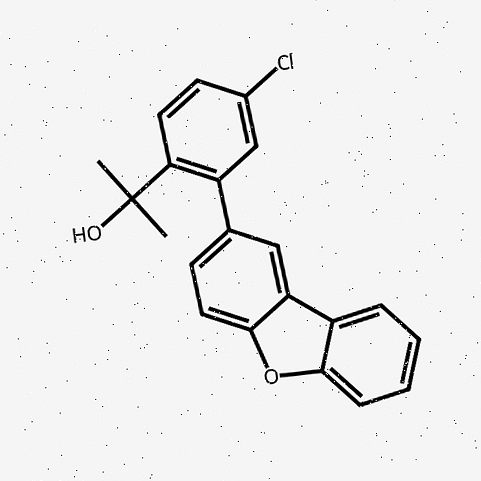 CC(C)(O)c1ccc(Cl)cc1-c1ccc2oc3ccccc3c2c1